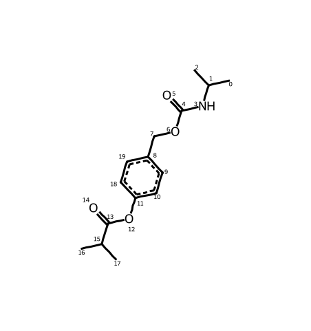 CC(C)NC(=O)OCc1ccc(OC(=O)C(C)C)cc1